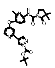 Cc1nc(NC(=O)N2CCC(C)(C)C2=O)ccc1Oc1ccnc(-c2cnn(C(=O)OC(C)(C)C)c2)c1